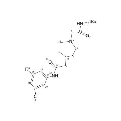 CC(C)(C)NC(=O)CN1CCC(CC(=O)Nc2cc(F)cc(Cl)c2)CC1